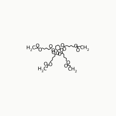 C=CC(=O)OCCCCC(=O)O[C@@H]1[C@@H](OC(=O)CCCCOC(=O)C=C)[C@H](OC(=O)CCCCOC(=O)C=C)CC[C@@H]1OC(=O)CCCCOC(=O)C=C